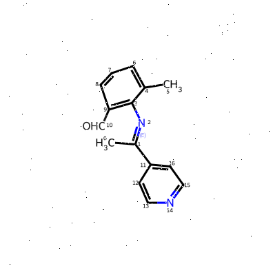 C/C(=N\c1c(C)cccc1C=O)c1ccncc1